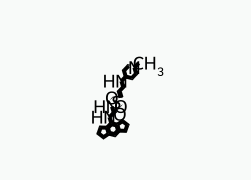 CN1CCC(NC/C=C/S(=O)(=O)NC(=O)Nc2c3c(cc4c2CCC4)CCC3)CC1